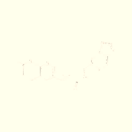 CN(Cc1ccc2[nH]cnc2c1)C(=O)/C=C/c1cnc2c(c1)CCC(=O)N2